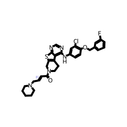 O=C(/C=C/CN1CCCCC1)N1CCc2c(sc3ncnc(Nc4ccc(OCc5cccc(F)c5)c(Cl)c4)c23)C1